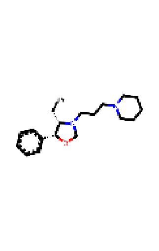 CC(C)C[C@H]1[C@@H](c2ccccc2)OCN1CCCN1CCCCC1